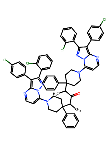 CC(C(=O)C(C)C1(c2ccccc2)CCN(c2ccnc3c(-c4ccc(Cl)cc4)c(-c4ccccc4Cl)nn23)CC1)C1(c2ccccc2)CCN(c2ccnc3c(-c4ccc(Cl)cc4)c(-c4ccccc4Cl)nn23)CC1